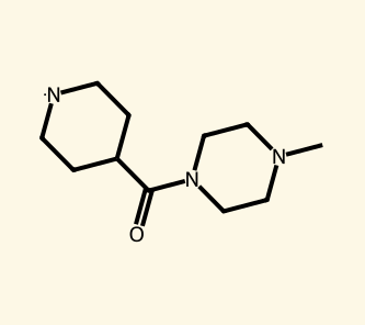 CN1CCN(C(=O)C2CC[N]CC2)CC1